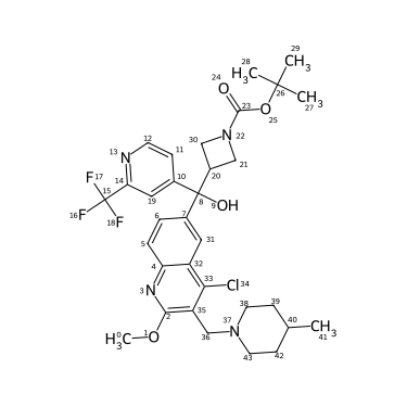 COc1nc2ccc(C(O)(c3ccnc(C(F)(F)F)c3)C3CN(C(=O)OC(C)(C)C)C3)cc2c(Cl)c1CN1CCC(C)CC1